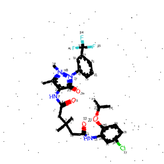 Cc1c(NC(=O)CC(C)(C)CC(=O)Nc2cc(Cl)ccc2OC(C)C)c(=O)n(-c2cccc(C(F)(F)F)c2)n1C